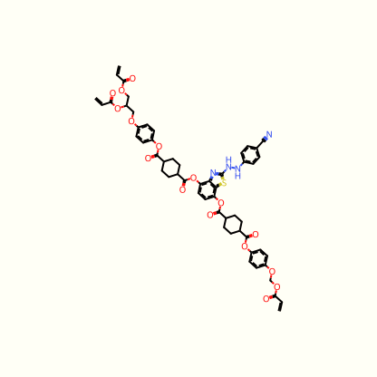 C=CC(=O)OCOc1ccc(OC(=O)C2CCC(C(=O)Oc3ccc(OC(=O)C4CCC(C(=O)Oc5ccc(OCC(COC(=O)C=C)OC(=O)C=C)cc5)CC4)c4nc(NNc5ccc(C#N)cc5)sc34)CC2)cc1